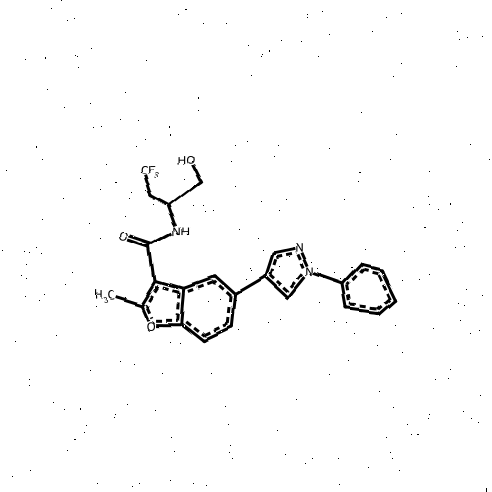 Cc1oc2ccc(-c3cnn(-c4ccccc4)c3)cc2c1C(=O)NC(CO)CC(F)(F)F